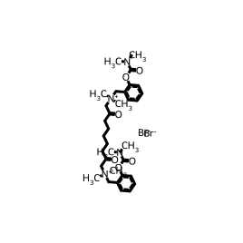 CN(C)C(=O)Oc1ccccc1C[N+](C)(C)CC(=O)CCCCCC(=O)C[N+](C)(C)Cc1ccccc1OC(=O)N(C)C.[Br-].[Br-]